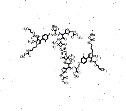 C=CCOC(=O)Nc1c(-c2ccc(OC[C@H](O/N=C(\C(=O)N[C@@H]3C(=O)N(OS(=O)(=O)ON4C(=O)[C@@H](NC(=O)/C(=N\O[C@@H](COc5ccc(-c6cn(CCCNC(=O)OC(C)(C)C)[n+](C)c6NC(=O)OCC=C)c(F)c5)C(=O)OC(C)(C)C)c5csc(NC(=O)OC(C)(C)C)n5)C4(C)C)C3(C)C)c3csc(NC(=O)OC(C)(C)C)n3)C(=O)OC(C)(C)C)cc2F)cn(CCCNC(=O)OC(C)(C)C)[n+]1C